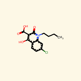 CCCCn1c(=O)c(C(=O)O)c(O)c2ccc(Cl)cc21